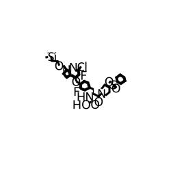 C[Si](C)(C)CCOCn1ccc2c(Oc3c(F)cc(C[C@H](NC(=O)O)C(=O)N4CCC(S(=O)(=O)c5ccccc5)CC4)cc3F)cc(Cl)nc21